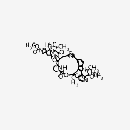 CCn1c(-c2cccnc2[C@H](C)OC)c2c3cc(ccc31)-c1csc(n1)C[C@H](NC(=O)[C@H](C(C)C)N1CCC3(CN(C(=O)OC)C3)C1=O)C(=O)N1CCC[C@H](N1)C(=O)OCC(C)(C)C2